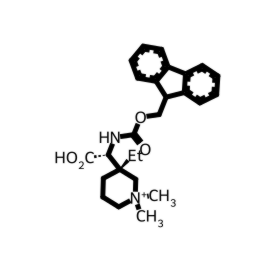 CC[C@]1([C@@H](NC(=O)OCC2c3ccccc3-c3ccccc32)C(=O)O)CCC[N+](C)(C)C1